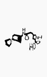 O=C(CC1CNC(C(=O)O)C1)Nc1ccc(N2CCCCC2)cc1